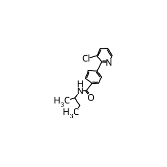 CCC(C)NC(=O)c1ccc(-c2ncccc2Cl)cc1